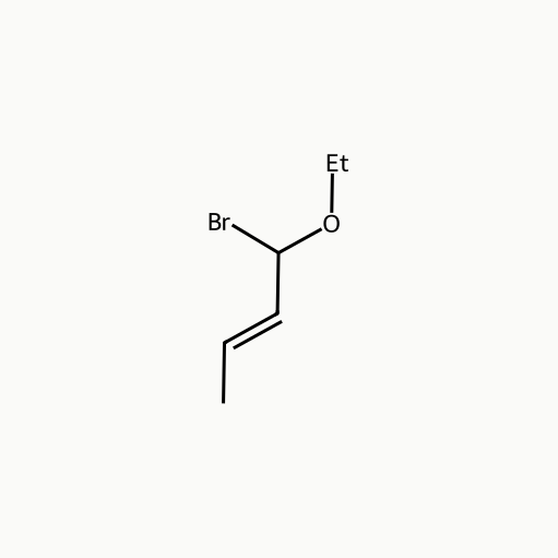 CC=CC(Br)OCC